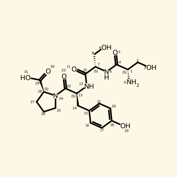 N[C@@H](CO)C(=O)N[C@@H](CO)C(=O)N[C@@H](Cc1ccc(O)cc1)C(=O)N1CCC[C@H]1C(=O)O